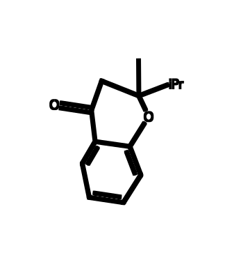 CC(C)C1(C)CC(=O)c2ccccc2O1